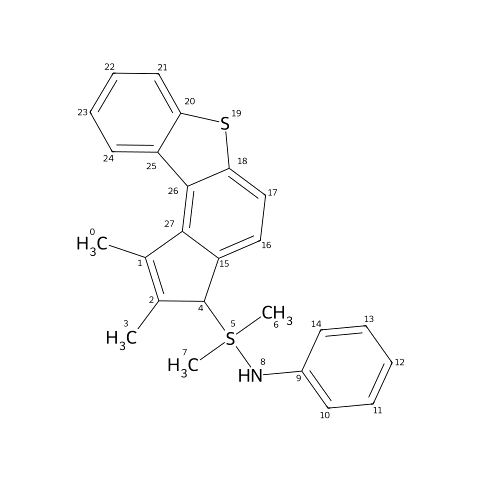 CC1=C(C)C(S(C)(C)Nc2ccccc2)c2ccc3sc4ccccc4c3c21